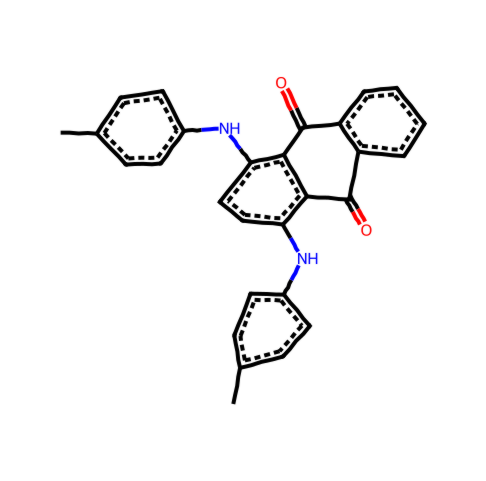 Cc1ccc(Nc2ccc(Nc3ccc(C)cc3)c3c2C(=O)c2ccccc2C3=O)cc1